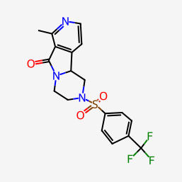 Cc1nccc2c1C(=O)N1CCN(S(=O)(=O)c3ccc(C(F)(F)F)cc3)CC21